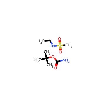 CC(C)(C)OC(N)=O.CCNS(C)(=O)=O